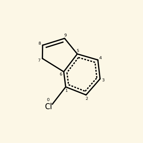 Clc1cccc2c1CC=C2